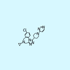 Clc1ccc2c(c1)CN(C1CC1)Cc1nnc(C3CCN(c4ccncn4)CC3)n1-2